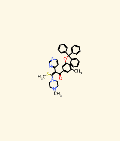 CS/C(=C(/C(=O)c1cc(C)cc(OC(c2ccccc2)(c2ccccc2)c2ccccc2)c1)c1ccncn1)N1CCN(C)CC1